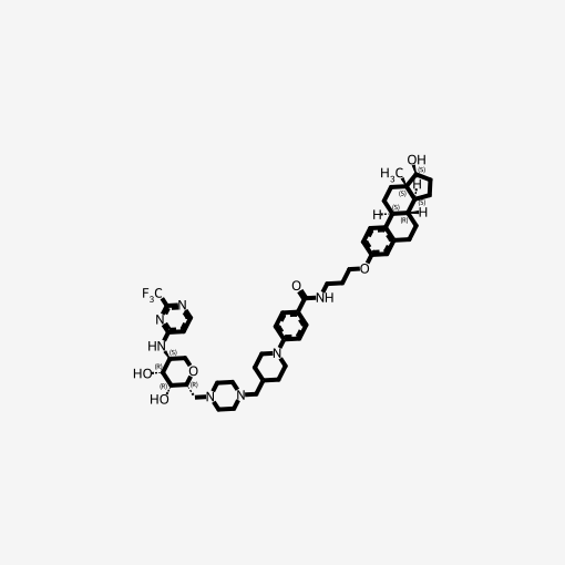 C[C@]12CC[C@@H]3c4ccc(OCCCNC(=O)c5ccc(N6CCC(CN7CCN(C[C@H]8OC[C@H](Nc9ccnc(C(F)(F)F)n9)[C@@H](O)[C@H]8O)CC7)CC6)cc5)cc4CC[C@H]3[C@@H]1CC[C@@H]2O